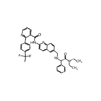 CCN(CC)C(=O)C(NCc1ccc2nc(NC(=O)c3cccnc3-c3ccc(C(F)(F)F)cc3)ccc2c1)c1ccccc1